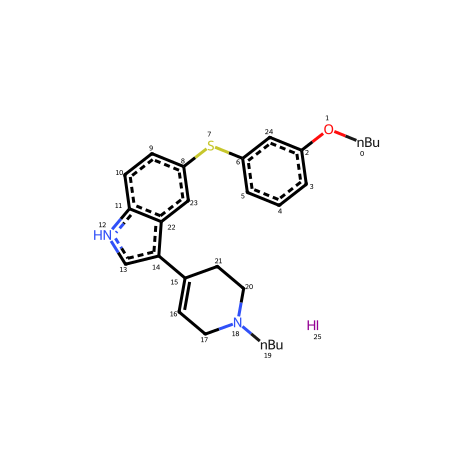 CCCCOc1cccc(Sc2ccc3[nH]cc(C4=CCN(CCCC)CC4)c3c2)c1.I